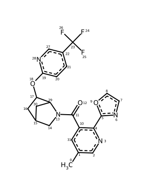 Cc1cnc(-c2ncco2)c(C(=O)N2CC3CC(Oc4ccc(C(F)(F)F)cn4)C2C3)c1